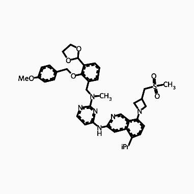 COc1ccc(COc2c(CN(C)c3nccc(Nc4cc5c(C(C)C)ccc(N6CC(CS(C)(=O)=O)C6)c5cn4)n3)cccc2C2OCCO2)cc1